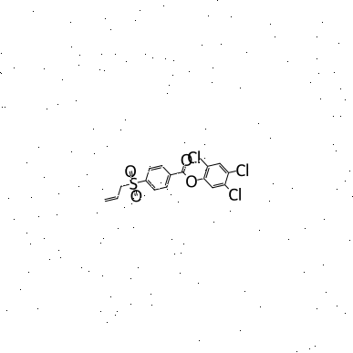 C=CCS(=O)(=O)c1ccc(C(=O)Oc2cc(Cl)c(Cl)cc2Cl)cc1